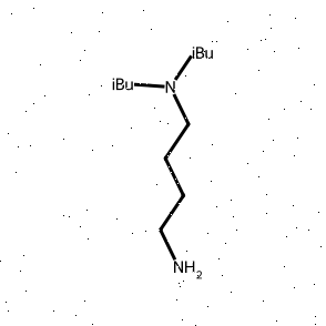 CCC(C)N(CCCCN)C(C)CC